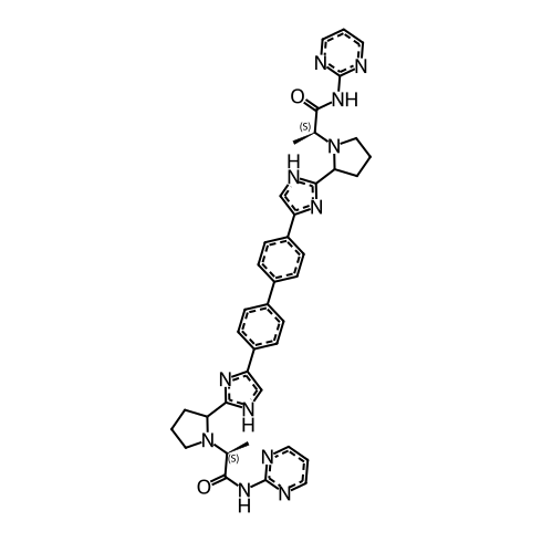 C[C@@H](C(=O)Nc1ncccn1)N1CCCC1c1nc(-c2ccc(-c3ccc(-c4c[nH]c(C5CCCN5[C@@H](C)C(=O)Nc5ncccn5)n4)cc3)cc2)c[nH]1